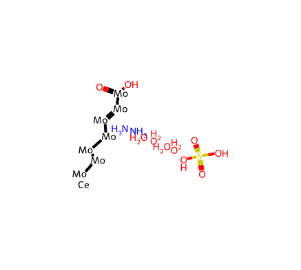 N.N.O.O.O.O.O=S(=O)(O)O.[Ce].[O]=[Mo]([OH])/[Mo]=[Mo]/[Mo][Mo][Mo][Mo]